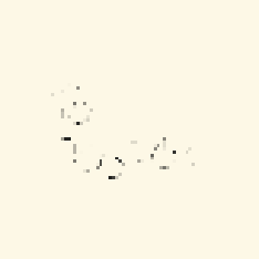 CS(=O)(=O)c1nc(C(=O)N2CCc3ccc(C(F)(F)c4ccc(C(F)(F)F)nc4)cc3C2)c[nH]1